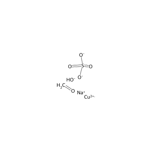 C=O.O=S(=O)([O-])[O-].[Cu+2].[Na+].[OH-]